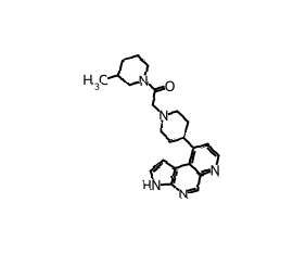 CC1CCCN(C(=O)CN2CCC(c3ccnc4cnc5[nH]ccc5c34)CC2)C1